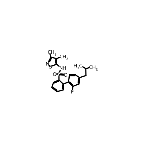 Cc1noc(NS(=O)(=O)c2ccccc2-c2ccc(CC(C)C)cc2F)c1C